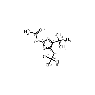 CC(C)(C)c1nc(OC(N)=O)sc1CC(Cl)(Cl)Cl